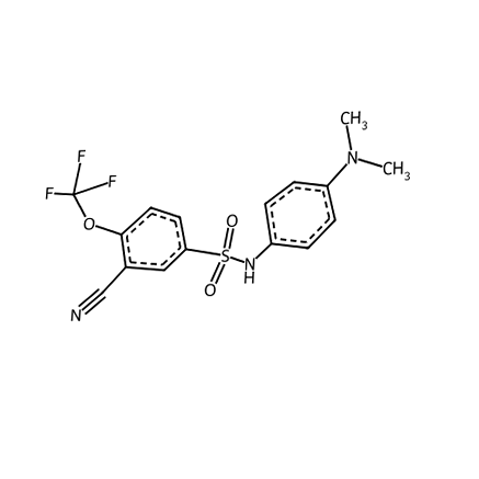 CN(C)c1ccc(NS(=O)(=O)c2ccc(OC(F)(F)F)c(C#N)c2)cc1